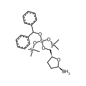 B[C@H]1CC[C@@H](CO[Si](OC(c2ccccc2)c2ccccc2)(O[Si](C)(C)C)O[Si](C)(C)C)O1